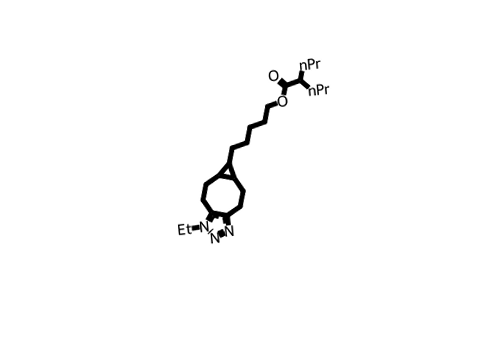 CCCC(CCC)C(=O)OCCCCCC1C2CCc3nnn(CC)c3CCC12